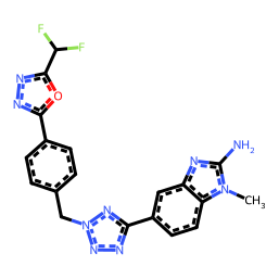 Cn1c(N)nc2cc(-c3nnn(Cc4ccc(-c5nnc(C(F)F)o5)cc4)n3)ccc21